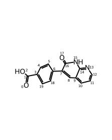 O=C(O)c1ccc(-c2cc3cccnc3[nH]c2=O)cc1